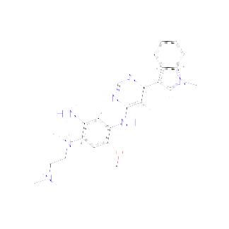 COc1cc(N(C)CCN(C)C)c(N)cc1NC1=C(C)C(c2cn(C)c3ccccc23)NC=N1